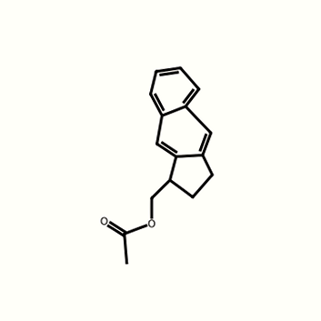 CC(=O)OCC1CCc2cc3ccccc3cc21